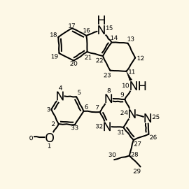 COc1cncc(-c2nc(N[C@@H]3CCc4[nH]c5ccccc5c4C3)n3ncc(C(C)C)c3n2)c1